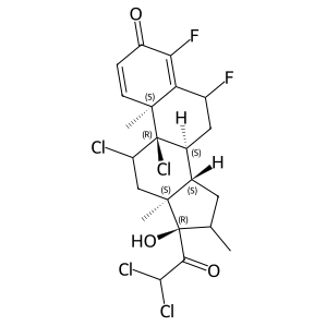 CC1C[C@H]2[C@@H]3CC(F)C4=C(F)C(=O)C=C[C@]4(C)[C@@]3(Cl)C(Cl)C[C@]2(C)[C@@]1(O)C(=O)C(Cl)Cl